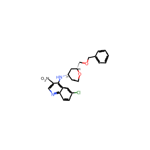 O=[N+]([O-])c1cnc2ccc(Cl)cc2c1N[C@H]1CCO[C@@H](COCc2ccccc2)C1